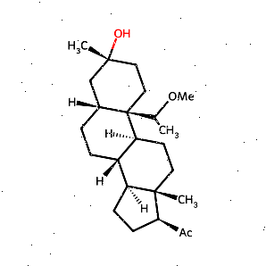 COC(C)[C@]12CC[C@@](C)(O)C[C@H]1CC[C@H]1[C@@H]3CC[C@H](C(C)=O)[C@@]3(C)CC[C@@H]12